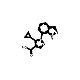 O=C(O)c1cnn(-c2cccc3cn[nH]c23)c1C1CC1